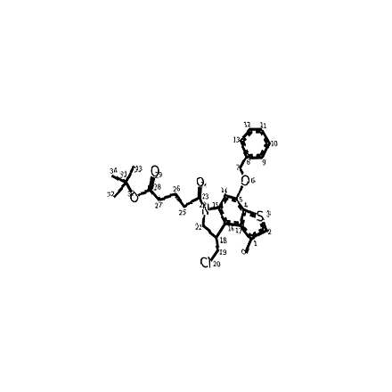 Cc1csc2c(OCc3ccccc3)cc3c(c12)C(CCl)CN3C(=O)CCCC(=O)OC(C)(C)C